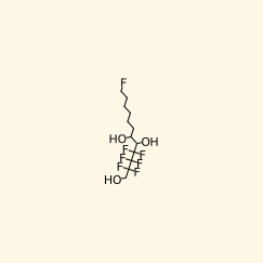 OCC(F)(F)C(F)(F)C(F)(F)C(O)C(O)CCCCCCF